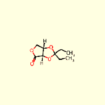 CCC1(CC)O[C@H]2COC(=O)[C@H]2O1